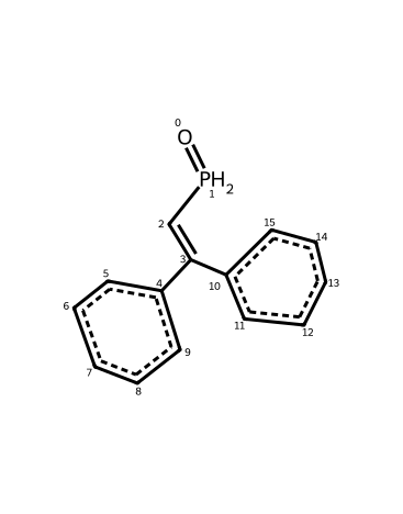 O=[PH2]C=C(c1ccccc1)c1ccccc1